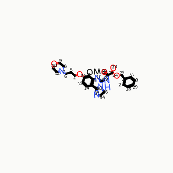 COc1c(OCCCN2CCOCC2)ccc2c1N=C(NC(=O)C(=O)OCc1ccccc1)N1CCN=C21